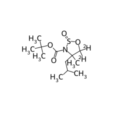 [2H]C1([2H])OS(=O)N(C(=O)OC(C)(C)C)C1(C)CC(C)C